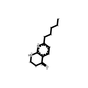 CCCCCc1ccc2c(n1)NCCC2=O